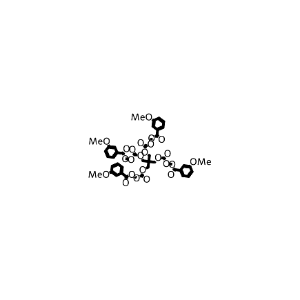 COc1cccc(C(=O)OOC(=O)OCC(COC(=O)OOC(=O)c2cccc(OC)c2)(COC(=O)OOC(=O)c2cccc(OC)c2)COC(=O)OOC(=O)c2cccc(OC)c2)c1